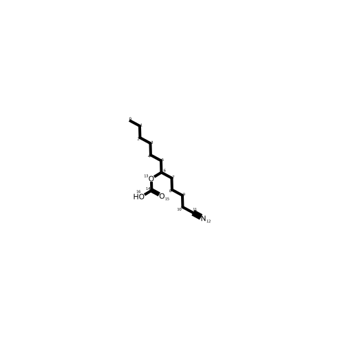 CCCCCCC(CCCCC#N)OC(=O)O